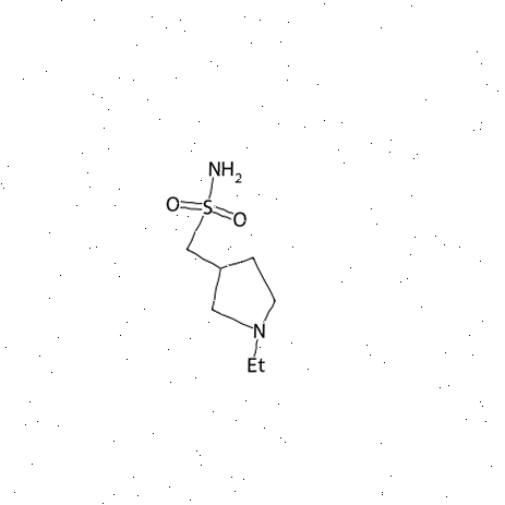 CCN1CCC(CS(N)(=O)=O)C1